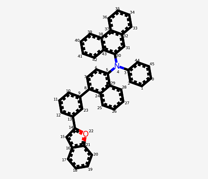 c1ccc(N(c2ccc(-c3cccc(-c4cc5ccccc5o4)c3)c3ccccc23)c2cc3ccccc3c3ccccc23)cc1